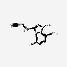 Cc1ccc(Cl)c2c(NCC#N)nn(C)c12